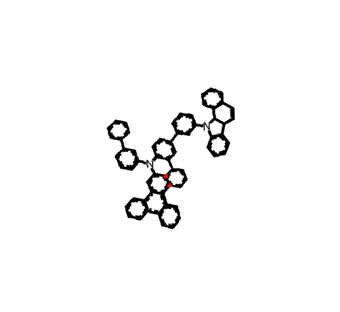 C1=CC2c3ccccc3N(c3cccc(-c4ccc(N(c5cccc(-c6ccccc6)c5)c5ccc6c7ccccc7c7ccccc7c6c5)c(-c5ccccc5)c4)c3)C2c2ccccc21